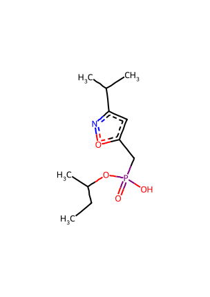 CCC(C)OP(=O)(O)Cc1cc(C(C)C)no1